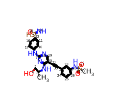 C[C@H](CO)Nc1nc(Nc2ccc([SH](=N)=O)cc2)ncc1C#Cc1cccc(NS(C)(=O)=O)c1